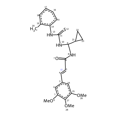 COc1cc(/C=C/C(=O)NC(NC(=S)Nc2ccccc2C)C2CC2)cc(OC)c1OC